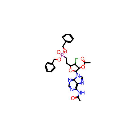 CC(=O)Nc1ncnc2c1ncn2C1OC(CCP(=O)(OCc2ccccc2)OCc2ccccc2)C(F)C1OC(C)=O